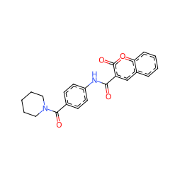 O=C(Nc1ccc(C(=O)N2CCCCC2)cc1)c1cc2ccccc2oc1=O